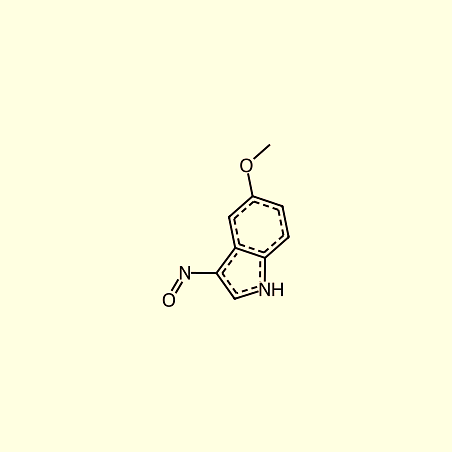 COc1ccc2[nH]cc(N=O)c2c1